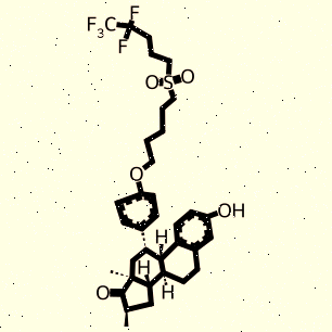 C[C@@H]1C[C@H]2[C@@H]3CCc4cc(O)ccc4[C@H]3[C@@H](c3ccc(OCCCCCS(=O)(=O)CCCC(F)(F)C(F)(F)F)cc3)C[C@]2(C)C1=O